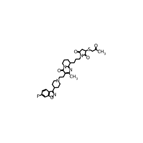 CC(=O)CSC1CC(=O)N(CCCC2CCCn3c2nc(C)c(CCN2CCC(c4noc5cc(F)ccc45)CC2)c3=O)C1=O